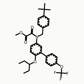 CCC(CC)Oc1ccc(N(Cc2ccc(C(C)(C)C)cc2)C(=O)C(=O)OC)cc1-c1ccc(OC(F)(F)F)cc1